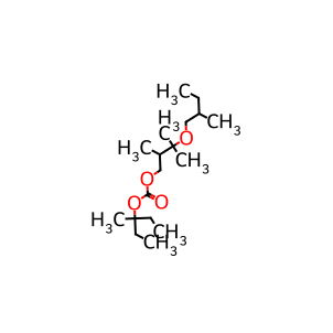 CCC(C)COC(C)(C)C(C)COC(=O)OC(C)(CC)CC